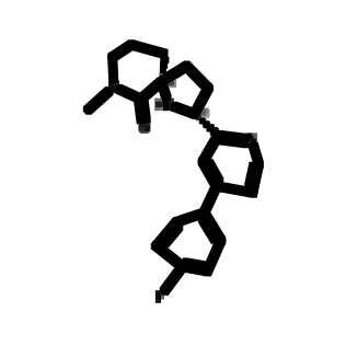 CN1CCC[C@@]2(CC[C@H](c3cc(-c4ccc(F)cc4)ccn3)N2)C1=O